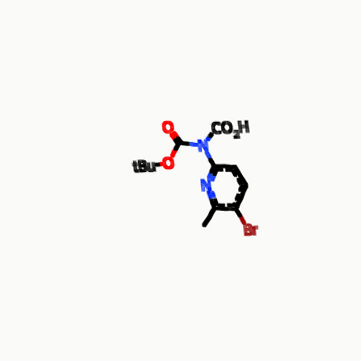 Cc1nc(N(C(=O)O)C(=O)OC(C)(C)C)ccc1Br